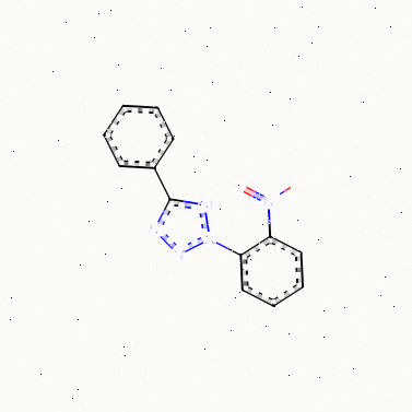 O=[N+]([O-])c1ccccc1-[n+]1nnc(-c2ccccc2)[nH]1.[Cl-]